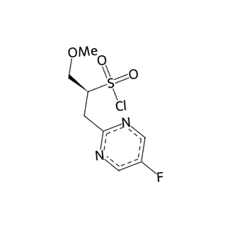 COC[C@H](Cc1ncc(F)cn1)S(=O)(=O)Cl